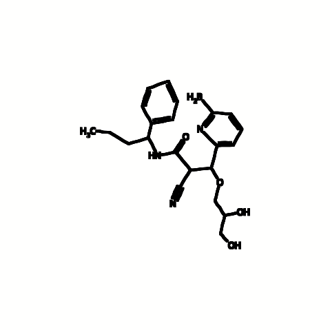 Bc1cccc(C(OCC(O)CO)C(C#N)C(=O)NC(CCC)c2ccccc2)n1